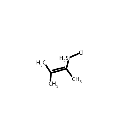 CC(C)=C(C)[SiH2]Cl